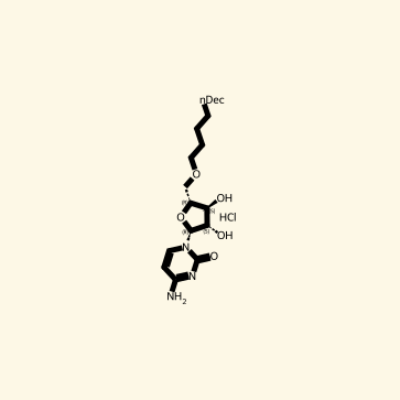 CCCCCCCCCCCCCCOC[C@H]1O[C@@H](n2ccc(N)nc2=O)[C@@H](O)[C@@H]1O.Cl